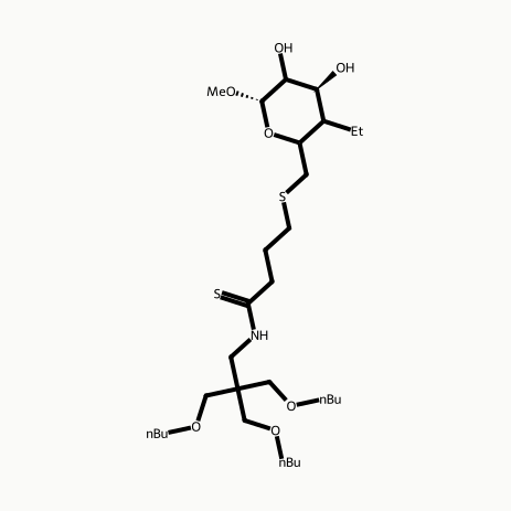 CCCCOCC(CNC(=S)CCCSCC1O[C@H](OC)C(O)[C@@H](O)C1CC)(COCCCC)COCCCC